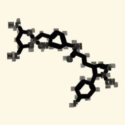 CC1CC(C)O[P](O)(Cc2ccc(NC(=O)C=Cc3cnn(C)c3-c3ccc(F)cc3)cc2)O1